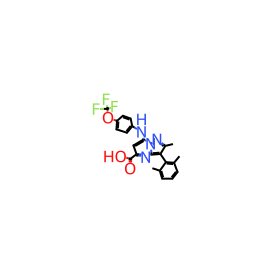 Cc1cccc(C)c1-c1c(C)nn2c(Nc3ccc(OC(F)(F)F)cc3)cc(C(=O)O)nc12